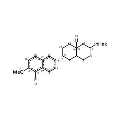 CCCCCCC1CCC2C[C@H](c3ccc4c(F)c(OC)ccc4c3)CC[C@@H]2C1